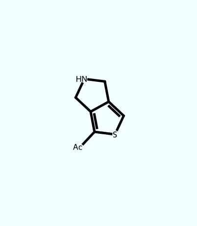 CC(=O)c1scc2c1CNC2